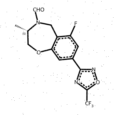 C[C@H]1COc2cc(-c3noc(C(F)(F)F)n3)cc(F)c2CN1C=O